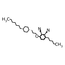 CCCCCCC[C@H]1CC[C@H](CCCOc2ccc(CCCCC)c(C#N)c2C#N)CC1